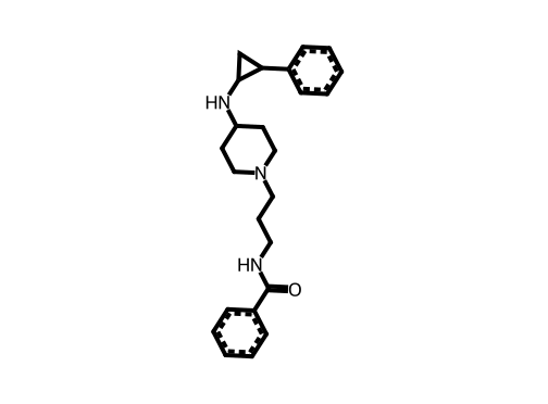 O=C(NCCCN1CCC(NC2CC2c2ccccc2)CC1)c1ccccc1